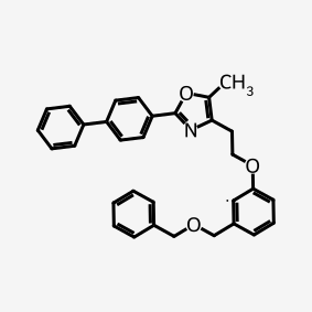 Cc1oc(-c2ccc(-c3ccccc3)cc2)nc1CCOc1[c]c(COCc2ccccc2)ccc1